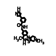 C=C(Nc1nc2c(s1)CN(C)CC2)c1cccc(CNC(=O)c2cccc(-c3cn[nH]c3)c2)c1